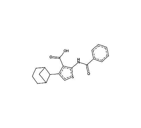 O=C(Nc1scc(C2C3CCCC2C3)c1C(=O)O)c1ccccc1